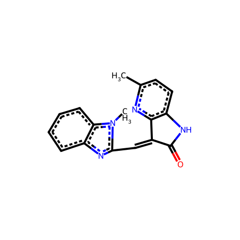 Cc1ccc2c(n1)C(=Cc1nc3ccccc3n1C)C(=O)N2